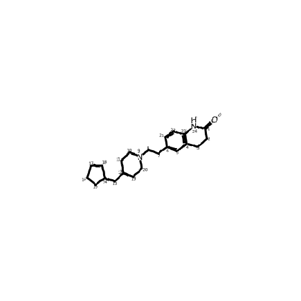 O=C1CCc2cc(CCN3CCC(CC4CCCC4)CC3)ccc2N1